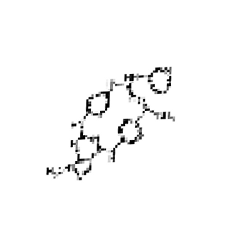 Cn1ncc2c(Nc3ccc(C(N)=O)cc3)nc(Nc3ccc(NC(=O)Nc4cccnc4)cc3)nc21